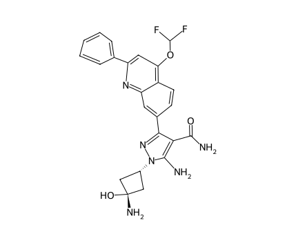 NC(=O)c1c(-c2ccc3c(OC(F)F)cc(-c4ccccc4)nc3c2)nn([C@H]2C[C@@](N)(O)C2)c1N